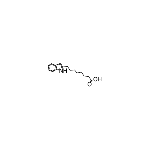 O=C(O)CCCCCCCc1cc2ccccc2[nH]1